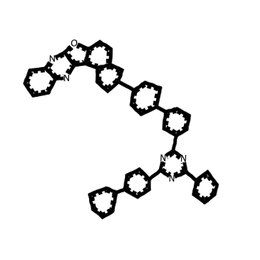 c1ccc(-c2ccc(-c3nc(-c4ccccc4)nc(-c4cccc(-c5ccc(-c6ccc7c(ccc8oc9nc%10ccccc%10nc9c87)c6)cc5)c4)n3)cc2)cc1